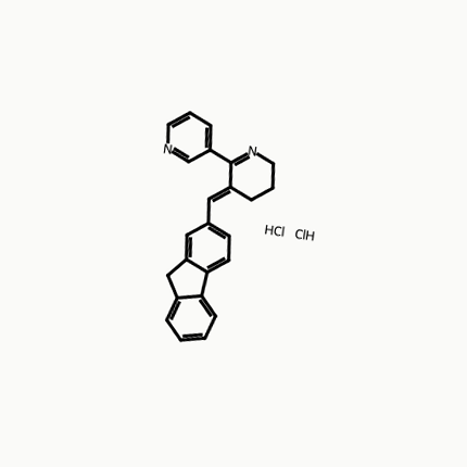 C(=C1CCCN=C1c1cccnc1)c1ccc2c(c1)Cc1ccccc1-2.Cl.Cl